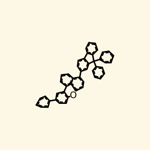 c1ccc(-c2ccc3c(c2)-c2cccc4c(-c5ccc6c(c5)C(c5ccccc5)(c5ccccc5)c5ccccc5-6)ccc(c24)O3)cc1